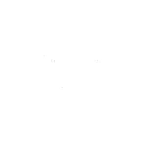 CCCCCCCCNC(C)C(O)c1ccc2c(c1)CCN2